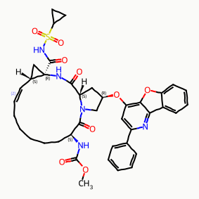 COC(=O)N[C@H]1CCCCC/C=C\[C@@H]2C[C@@]2(C(=O)NS(=O)(=O)C2CC2)NC(=O)[C@@H]2C[C@@H](Oc3cc(-c4ccccc4)nc4c3oc3ccccc34)CN2C1=O